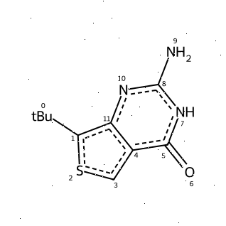 CC(C)(C)c1scc2c(=O)[nH]c(N)nc12